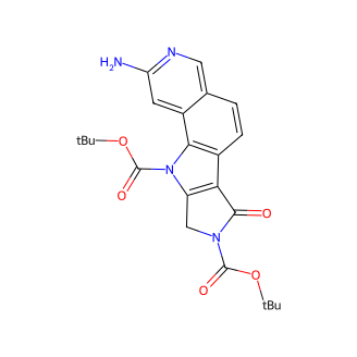 CC(C)(C)OC(=O)N1Cc2c(c3ccc4cnc(N)cc4c3n2C(=O)OC(C)(C)C)C1=O